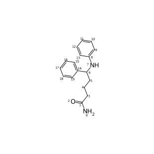 NC(=O)CCCC(Nc1ccccc1)c1ccccc1